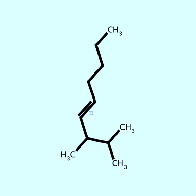 CCCC/C=C/C(C)C(C)C